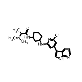 C[C@@H](C(=O)NC1CCCC(Nc2cc(-c3c[nH]c4ncccc34)cc(Cl)n2)C1)N(C)C